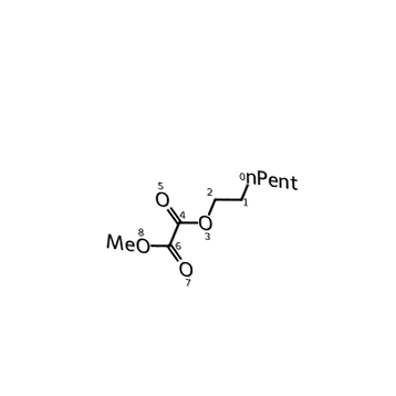 CCCCCCCOC(=O)C(=O)OC